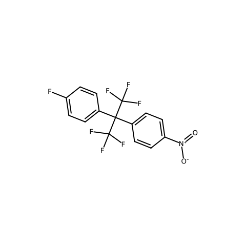 O=[N+]([O-])c1ccc(C(c2ccc(F)cc2)(C(F)(F)F)C(F)(F)F)cc1